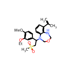 C=C(C)c1cccc2c1NCOCN2C(CS(C)(=O)=O)c1ccc(OC)c(OCC)c1